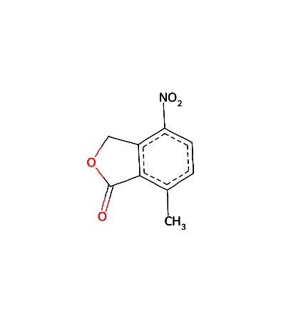 Cc1ccc([N+](=O)[O-])c2c1C(=O)OC2